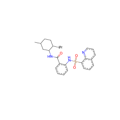 CC1CCC(C(C)C)C(NC(=O)c2ccccc2NS(=O)(=O)c2cccc3cccnc23)C1